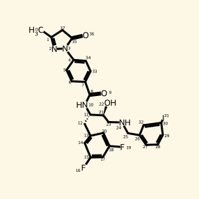 CC1=NN(c2ccc(C(=O)N[C@@H](Cc3cc(F)cc(F)c3)[C@@H](O)CNCc3cccc(I)c3)cc2)C(=O)C1